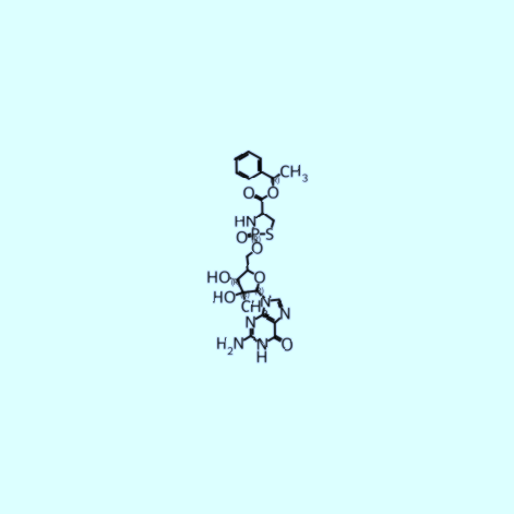 C[C@@H](OC(=O)C1CS[P@](=O)(OCC2O[C@@H](n3cnc4c(=O)[nH]c(N)nc43)[C@](C)(O)[C@@H]2O)N1)c1ccccc1